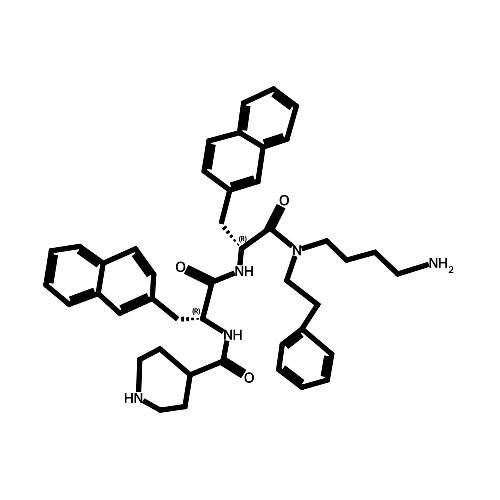 NCCCCN(CCc1ccccc1)C(=O)[C@@H](Cc1ccc2ccccc2c1)NC(=O)[C@@H](Cc1ccc2ccccc2c1)NC(=O)C1CCNCC1